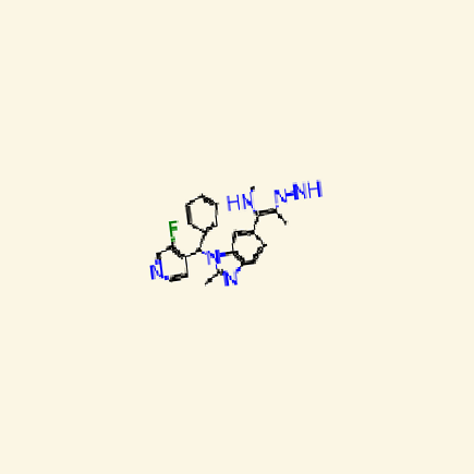 CN/C(=C(/C)N=N)c1ccc2nc(C)n(C(c3ccccc3)c3ccncc3F)c2c1